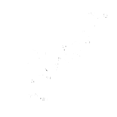 CNC(=O)CN(Cc1ccccc1)C[C@H](O)[C@@]12CC[C@]3(C)[C@H](CC[C@@H]4[C@@]5(C)CC[C@H](OC(=O)CC(C)(C)C(=O)O)C(C)(C)[C@@H]5CC[C@]43C)C1=C(C(C)C)C(=O)C2